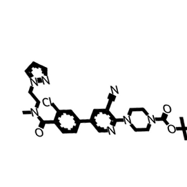 CN(CCn1cccn1)C(=O)c1ccc(-c2cnc(N3CCN(C(=O)OC(C)(C)C)CC3)c(C#N)c2)cc1Cl